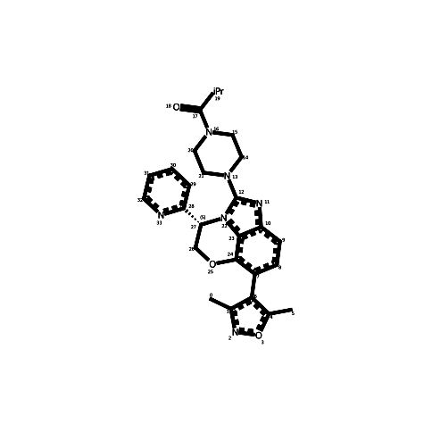 Cc1noc(C)c1-c1ccc2nc(N3CCN(C(=O)C(C)C)CC3)n3c2c1OC[C@@H]3c1ccccn1